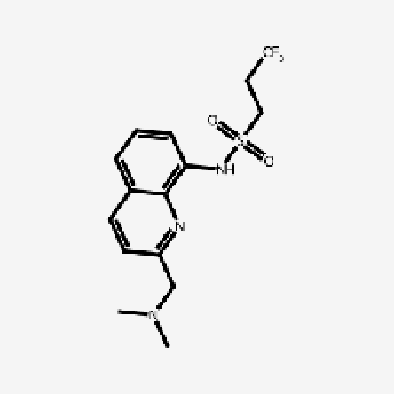 CN(C)Cc1ccc2cccc(NS(=O)(=O)CCC(F)(F)F)c2n1